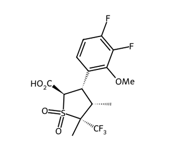 COc1c([C@@H]2[C@H](C)[C@](C)(C(F)(F)F)S(=O)(=O)[C@H]2C(=O)O)ccc(F)c1F